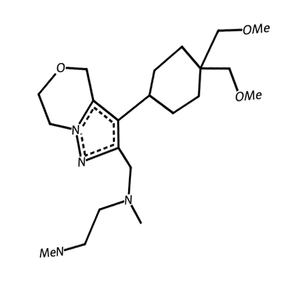 CNCCN(C)Cc1nn2c(c1C1CCC(COC)(COC)CC1)COCC2